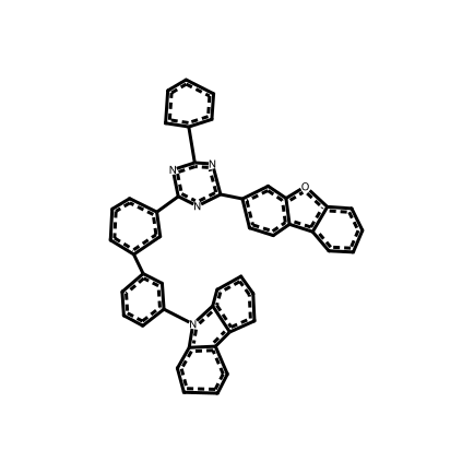 c1ccc(-c2nc(-c3cccc(-c4cccc(-n5c6ccccc6c6ccccc65)c4)c3)nc(-c3ccc4c(c3)oc3ccccc34)n2)cc1